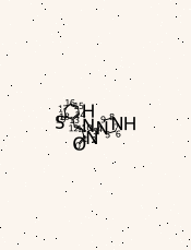 O=C1N=C(N2CCNCC2)NC1=CC1=CC=CCC1=S